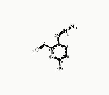 [N-]=[N+]=Nc1ccc(Br)nc1C=O